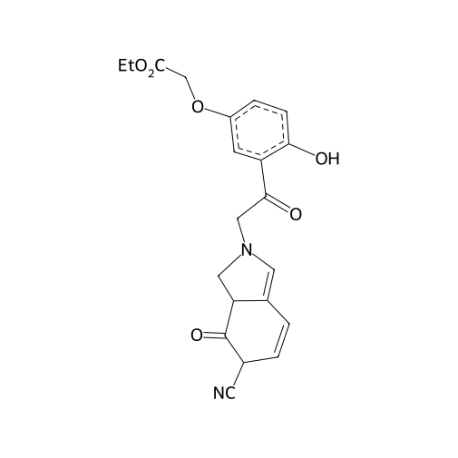 CCOC(=O)COc1ccc(O)c(C(=O)CN2C=C3C=CC(C#N)C(=O)C3C2)c1